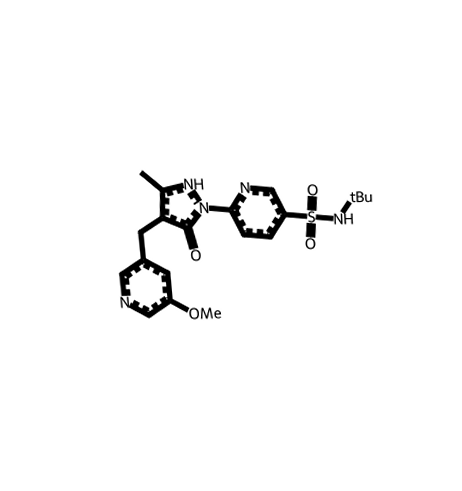 COc1cncc(Cc2c(C)[nH]n(-c3ccc(S(=O)(=O)NC(C)(C)C)cn3)c2=O)c1